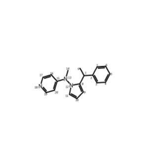 CC(c1ccccc1)c1cccn1N(C)c1ccncc1